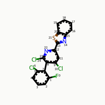 Fc1cccc(Cl)c1-c1c(Cl)cc(-c2nc3ccccc3s2)nc1Cl